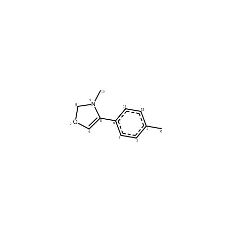 Cc1ccc(C2=CO[CH]N2C)cc1